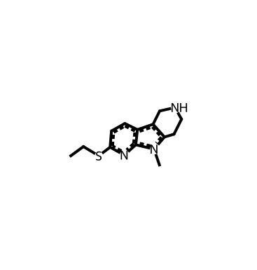 CCSc1ccc2c3c(n(C)c2n1)CCNC3